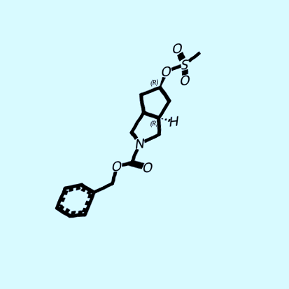 CS(=O)(=O)O[C@@H]1CC2CN(C(=O)OCc3ccccc3)C[C@@H]2C1